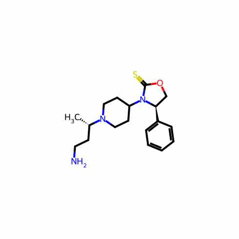 C[C@@H](CCN)N1CCC(N2C(=S)OC[C@H]2c2ccccc2)CC1